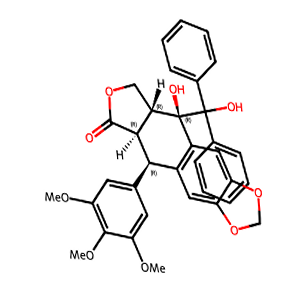 COc1cc([C@@H]2c3cc4c(cc3[C@@](O)(C(O)(c3ccccc3)c3ccccc3)[C@H]3COC(=O)[C@H]23)OCO4)cc(OC)c1OC